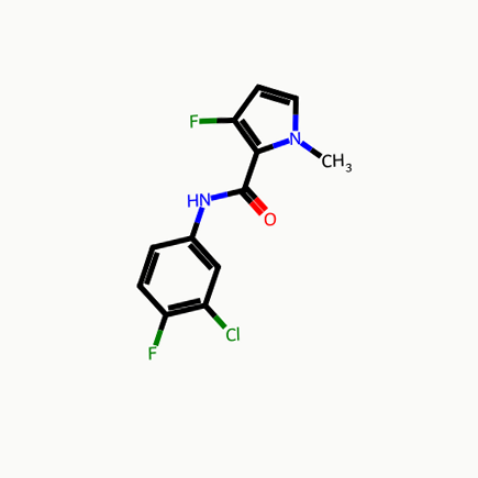 Cn1ccc(F)c1C(=O)Nc1ccc(F)c(Cl)c1